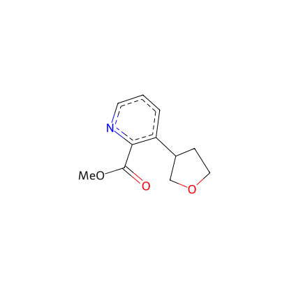 COC(=O)c1ncccc1C1CCOC1